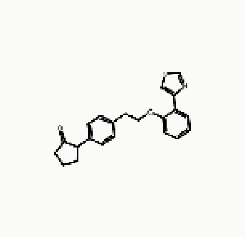 O=C1CCCC1c1ccc(CCOc2ccccc2-c2c[nH]cn2)cc1